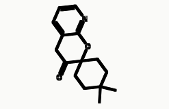 CC1(C)CCC2(CC1)Oc1ncccc1CC2=O